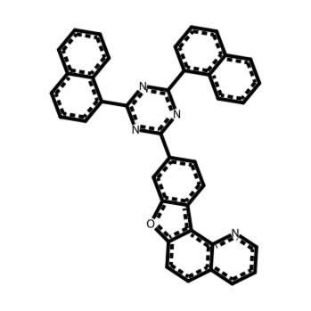 c1ccc2c(-c3nc(-c4ccc5c(c4)oc4ccc6cccnc6c45)nc(-c4cccc5ccccc45)n3)cccc2c1